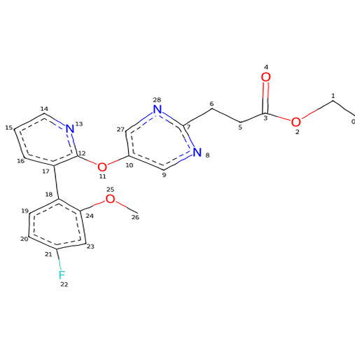 CCOC(=O)CCc1ncc(Oc2ncccc2-c2ccc(F)cc2OC)cn1